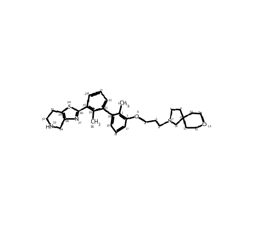 Cc1c(OCCCN2CCC3(CCOCC3)C2)cccc1-c1cccc(-c2nc3c(s2)CCNC3)c1C